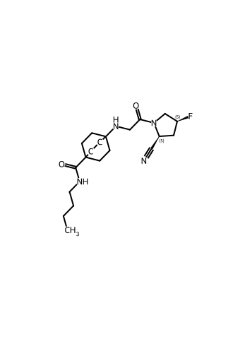 CCCCNC(=O)C12CCC(NCC(=O)N3C[C@@H](F)C[C@H]3C#N)(CC1)CC2